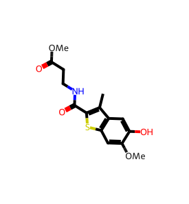 COC(=O)CCNC(=O)c1sc2cc(OC)c(O)cc2c1C